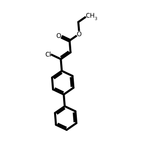 CCOC(=O)C=C(Cl)c1ccc(-c2ccccc2)cc1